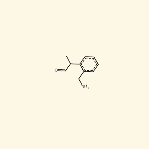 CC([C]=O)c1ccccc1CN